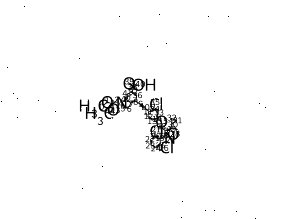 COC(Cn1ccc2c(C#Cc3ccc(OCc4c(-c5c(Cl)cccc5Cl)noc4C4CC4)cc3Cl)cc(C(=O)O)cc21)OC